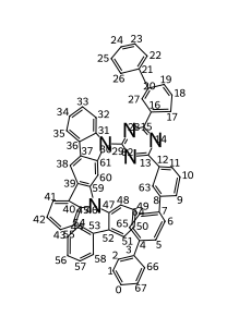 c1ccc(-c2ccc(-c3cccc(-c4nc(-c5cccc(-c6ccccc6)c5)nc(-n5c6ccccc6c6cc7c8ccccc8n(-c8ccccc8-c8ccccc8)c7cc65)n4)c3)cc2)cc1